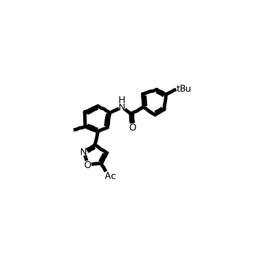 CC(=O)c1cc(-c2cc(NC(=O)c3ccc(C(C)(C)C)cc3)ccc2C)no1